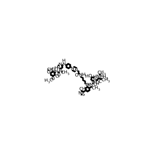 COc1cc(OC)c(Cl)c(NC(=O)N(C)c2cc(Nc3ccc(N4CCN(CC(=O)NCCCCCOc5cc(-c6scnc6C)ccc5[C@H](C)NC(=O)[C@@H]5C[C@@H](O)CN5C(=O)[C@@H](NC(C)=O)C(C)(C)C)CC4)cc3)ncn2)c1Cl